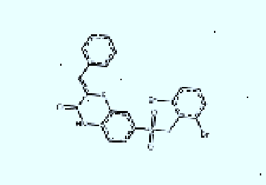 O=C1Nc2ccc(S(=O)(=O)Cc3c(Br)cccc3Br)cc2SC1=Cc1ccccc1